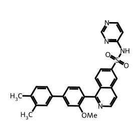 COc1cc(-c2ccc(C)c(C)c2)ccc1-c1nccc2cc(S(=O)(=O)Nc3ccncn3)ccc12